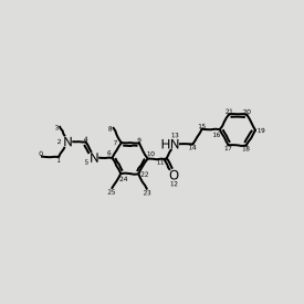 CCN(C)C=Nc1c(C)cc(C(=O)NCCc2ccccc2)c(C)c1C